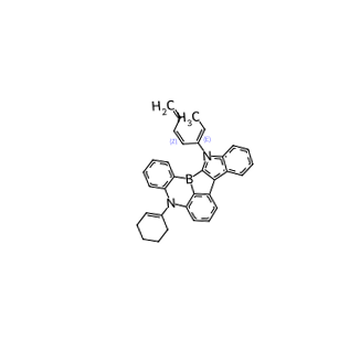 C=C/C=C\C(=C/C)n1c2c(c3ccccc31)-c1cccc3c1B2c1ccccc1N3C1=CCCCC1